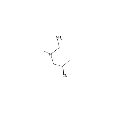 C[C@@H](C#N)CN(C)CN